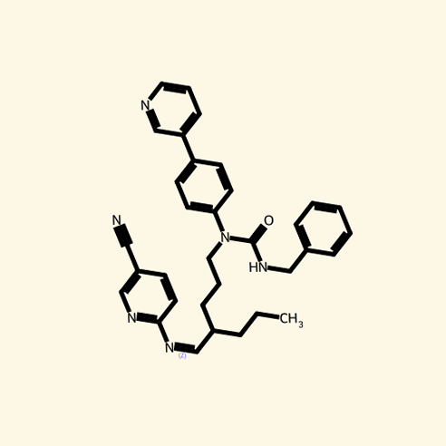 CCCC(/C=N\c1ccc(C#N)cn1)CCCN(C(=O)NCc1ccccc1)c1ccc(-c2cccnc2)cc1